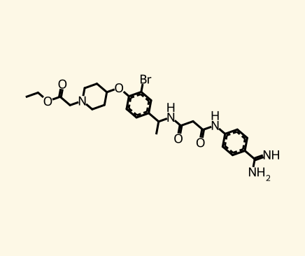 CCOC(=O)CN1CCC(Oc2ccc(C(C)NC(=O)CC(=O)Nc3ccc(C(=N)N)cc3)cc2Br)CC1